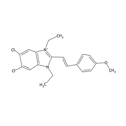 CCn1c(C=Cc2ccc(OC)cc2)[n+](CC)c2cc(Cl)c(Cl)cc21